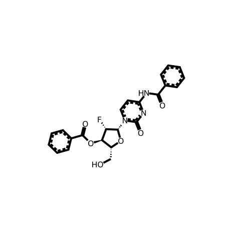 O=C(Nc1ccn([C@@H]2O[C@H](CO)[C@@H](OC(=O)c3ccccc3)[C@@H]2F)c(=O)n1)c1ccccc1